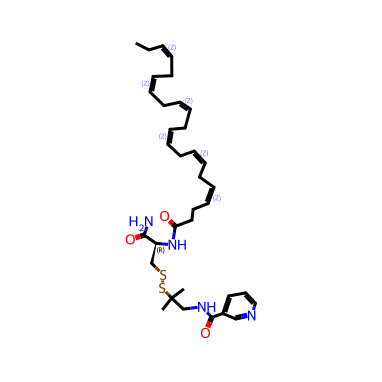 CC/C=C\C/C=C\C/C=C\C/C=C\C/C=C\C/C=C\CCC(=O)N[C@@H](CSSC(C)(C)CNC(=O)c1cccnc1)C(N)=O